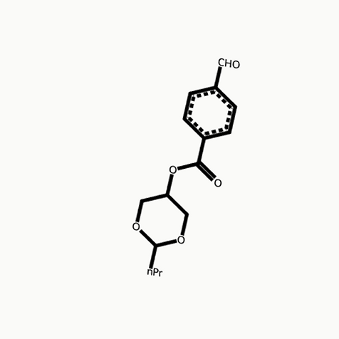 CCCC1OCC(OC(=O)c2ccc(C=O)cc2)CO1